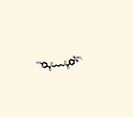 NS(=O)(=O)c1ccc(C(=O)NCCCCCNC(=O)c2ccc(O)nc2)cc1